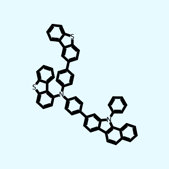 c1ccc(-n2c3cc(-c4ccc(N(c5ccc(-c6ccc7sc8ccccc8c7c6)cc5)c5cccc6sc7ccccc7c56)cc4)ccc3c3ccc4ccccc4c32)cc1